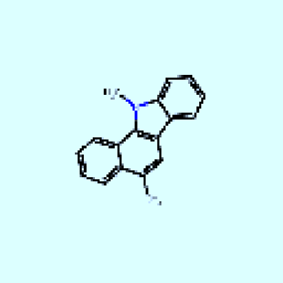 Cc1cc2c3ccccc3n(C)c2c2ccccc12